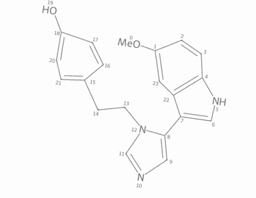 COc1ccc2[nH]cc(-c3cncn3CCc3ccc(O)cc3)c2c1